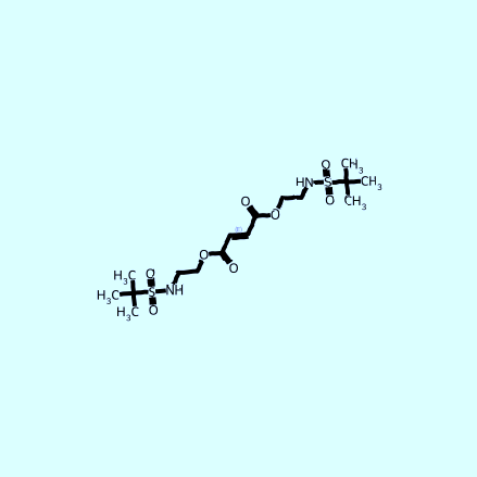 CC(C)(C)S(=O)(=O)NCCOC(=O)/C=C/C(=O)OCCNS(=O)(=O)C(C)(C)C